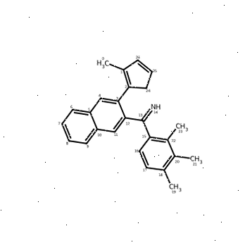 CC1=C(c2cc3ccccc3cc2C(=N)c2ccc(C)c(C)c2C)CC=C1